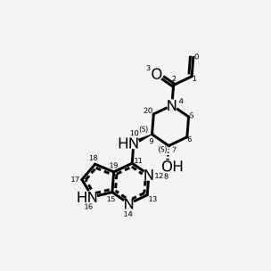 C=CC(=O)N1CC[C@H](O)[C@@H](Nc2ncnc3[nH]ccc23)C1